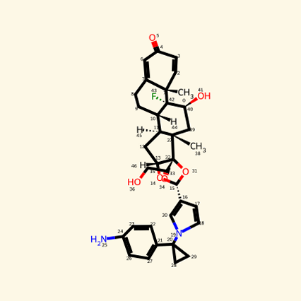 C[C@]12C=CC(=O)C=C1CC[C@H]1[C@@H]3C[C@H]4O[C@@H](c5ccn(C6(c7ccc(N)cc7)CC6)c5)O[C@@]4(C(=O)CO)[C@@]3(C)C[C@H](O)[C@@]12F